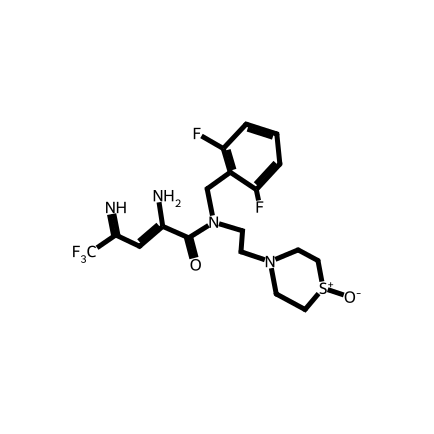 N=C(/C=C(\N)C(=O)N(CCN1CC[S+]([O-])CC1)Cc1c(F)cccc1F)C(F)(F)F